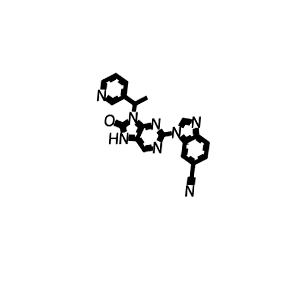 CC(c1cccnc1)n1c(=O)[nH]c2cnc(-n3cnc4ccc(C#N)cc43)nc21